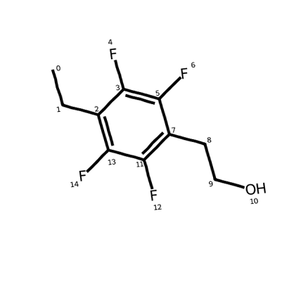 CCc1c(F)c(F)c(CCO)c(F)c1F